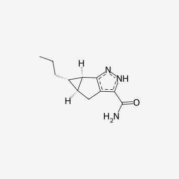 CCC[C@H]1[C@@H]2Cc3c(n[nH]c3C(N)=O)[C@H]12